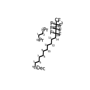 CC(C)CCC(C)C.CCCCCCCCCCCCCCCCCCCCC(F)(F)C(F)(F)C(F)(F)C(F)(F)F